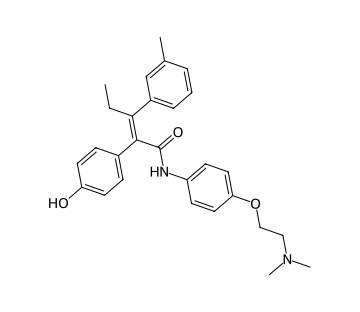 CC/C(=C(/C(=O)Nc1ccc(OCCN(C)C)cc1)c1ccc(O)cc1)c1cccc(C)c1